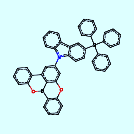 c1ccc([Si](c2ccccc2)(c2ccccc2)c2ccc3c(c2)c2ccccc2n3-c2cc3c4c(c2)-c2ccccc2OB4c2ccccc2O3)cc1